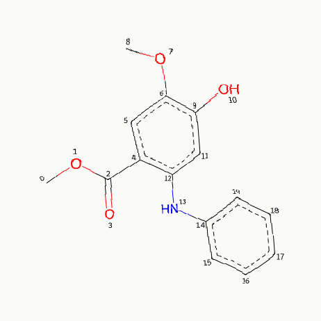 COC(=O)c1cc(OC)c(O)cc1Nc1ccccc1